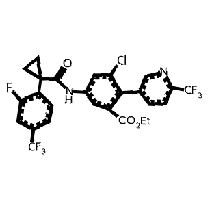 CCOC(=O)c1cc(NC(=O)C2(c3ccc(C(F)(F)F)cc3F)CC2)cc(Cl)c1-c1ccc(C(F)(F)F)nc1